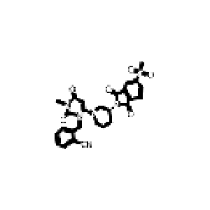 Cn1c(=O)cc(N2CCC[C@@H](N3C(=O)c4ccc(S(C)(=O)=O)cc4C3=O)C2)n(Cc2ccccc2C#N)c1=O